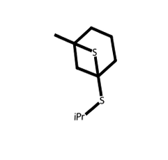 CC(C)SC12CCCC(C)(C1)S2